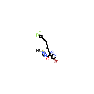 Cn1c(CCCCCCC#CC2CC(F)(F)C2)c(C(=O)N2CCN(SC#N)C2)c2cc(Br)cnc21